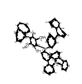 Oc1c(O)c(N(c2ccc(-c3ccccc3-n3c4ccccc4c4ccccc43)cc2)c2ccc(-c3cccc4ccccc34)cc2)c(O)c(O)c1-c1cccc2ccccc12